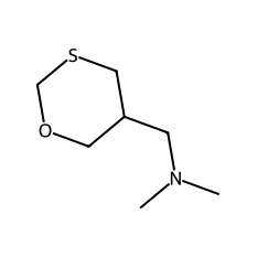 CN(C)CC1COCSC1